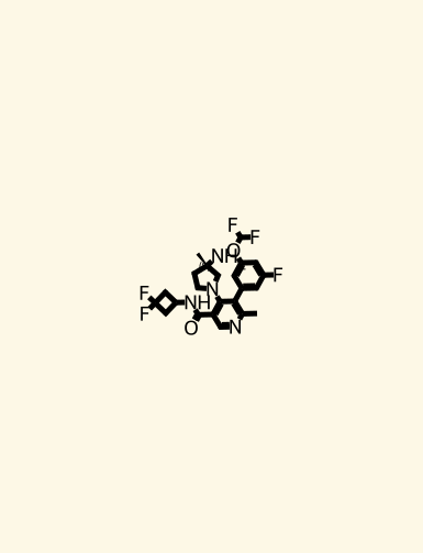 Cc1ncc(C(=O)NC2CC(F)(F)C2)c(N2CC[C@](C)(N)C2)c1-c1cc(F)cc(OC(F)F)c1